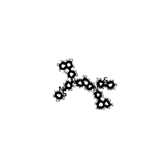 c1ccc2c(-c3ccc(N(c4ccc(-c5nc6ccccc6s5)cc4)c4ccc5c(ccc6cc(N(c7ccc(-c8cccc9ccccc89)cc7)c7ccc8sc9ccccc9c8c7)ccc65)c4)cc3)cccc2c1